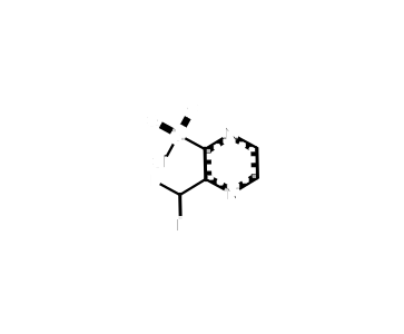 O=S(=O)(Cl)c1nccnc1C(F)F